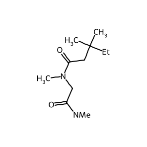 CCC(C)(C)CC(=O)N(C)CC(=O)NC